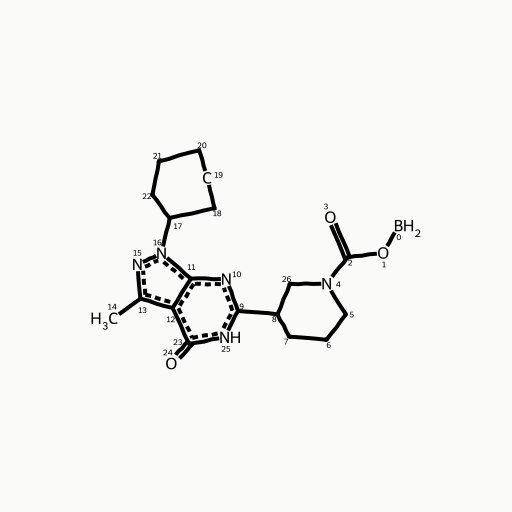 BOC(=O)N1CCCC(c2nc3c(c(C)nn3C3CCCCC3)c(=O)[nH]2)C1